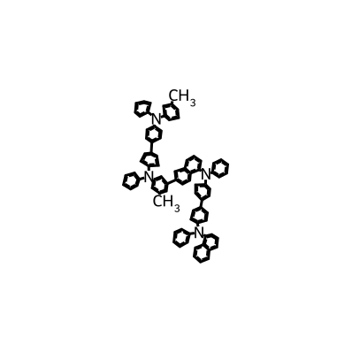 Cc1cccc(N(c2ccccc2)c2ccc(-c3ccc(N(c4ccccc4)c4cc(C)cc(-c5ccc6c(N(c7ccccc7)c7ccc(-c8ccc(N(c9ccccc9)c9cccc%10ccccc9%10)cc8)cc7)cccc6c5)c4)cc3)cc2)c1